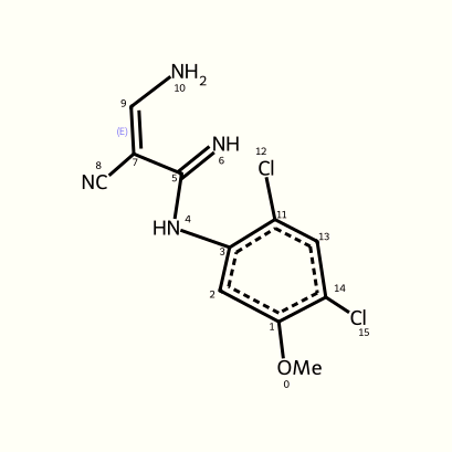 COc1cc(NC(=N)/C(C#N)=C\N)c(Cl)cc1Cl